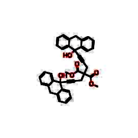 COC(=O)C(CC#CC1(O)c2ccccc2Cc2ccccc21)(CC#CC1(O)c2ccccc2Cc2ccccc21)C(=O)OC